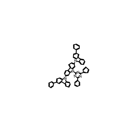 c1ccc(-c2ccc3c(c2)c2ccccc2n3-c2ccc3c4ccc(-n5c6ccccc6c6cc(-c7ccccc7)ccc65)cc4n(-c4nc(-c5ccccc5)nc(-c5ccccc5)n4)c3c2)cc1